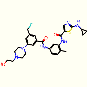 Cc1ccc(NC(=O)c2cc(CF)cc(N3CCN(CCO)CC3)c2)cc1NC(=O)c1cnc(NC2CC2)s1